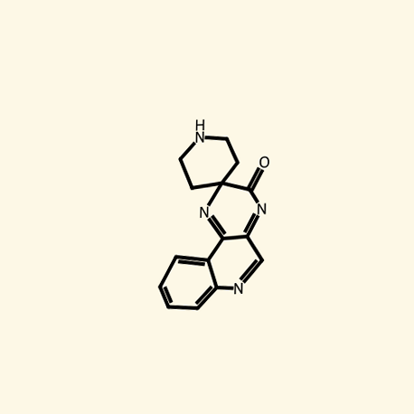 O=C1N=c2cnc3ccccc3c2=NC12CCNCC2